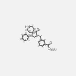 CC[C@H](C)OC(=O)c1cccc(CN2CN(c3ccccc3)C3(CCNCC3)C2=O)c1